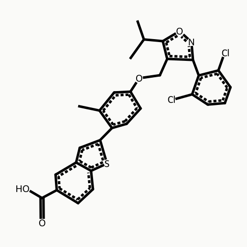 Cc1cc(OCc2c(-c3c(Cl)cccc3Cl)noc2C(C)C)ccc1-c1cc2cc(C(=O)O)ccc2s1